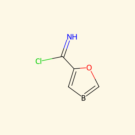 N=C(Cl)c1cbco1